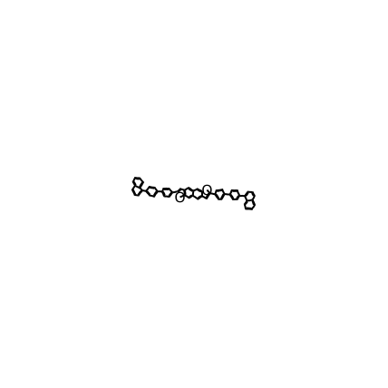 c1ccc2c(-c3ccc(-c4ccc(-c5cc6cc7cc8oc(-c9ccc(-c%10ccc(-c%11cccc%12ccccc%11%12)cc%10)cc9)cc8cc7cc6o5)cc4)cc3)cccc2c1